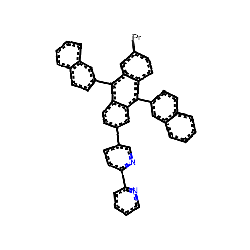 CC(C)c1ccc2c(-c3ccc4ccccc4c3)c3cc(-c4ccc(-c5ccccn5)nc4)ccc3c(-c3ccc4ccccc4c3)c2c1